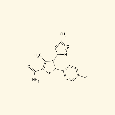 CC1=C(C(N)=O)SC(c2ccc(F)cc2)N1c1cc(C)on1